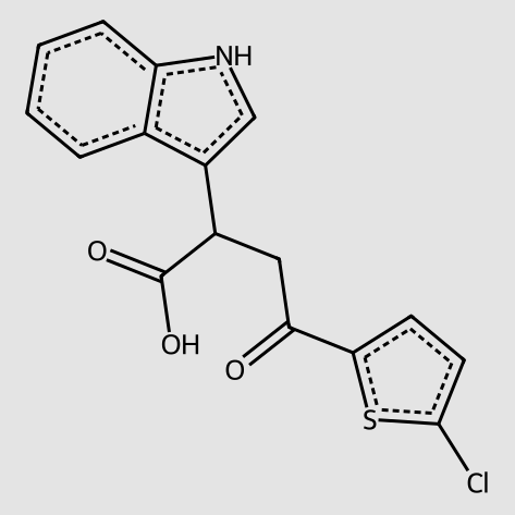 O=C(CC(C(=O)O)c1c[nH]c2ccccc12)c1ccc(Cl)s1